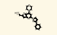 C=Cc1cc2nc(-n3ccc(-c4ccccc4)n3)cc(N3CCOCC3)c2o1